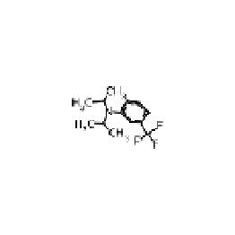 CC(C)N(c1cccc(C(F)(F)F)c1)C(C)C